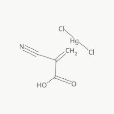 C=C(C#N)C(=O)O.[Cl][Hg][Cl]